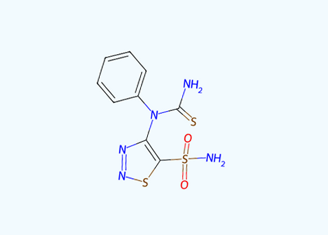 NC(=S)N(c1ccccc1)c1nnsc1S(N)(=O)=O